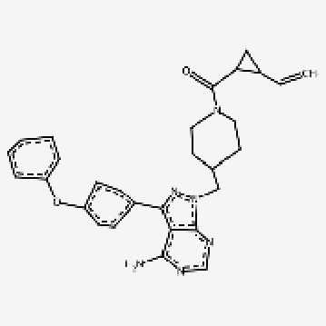 [CH]=CC1CC1C(=O)N1CCC(Cn2nc(-c3ccc(Oc4ccccc4)cc3)c3c(N)ncnc32)CC1